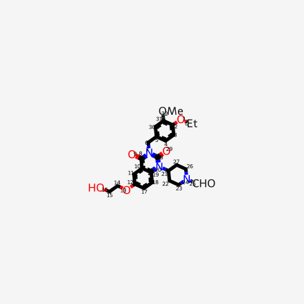 CCOc1ccc(Cn2c(=O)c3cc(OCCO)ccc3n(C3CCN(C=O)CC3)c2=O)cc1OC